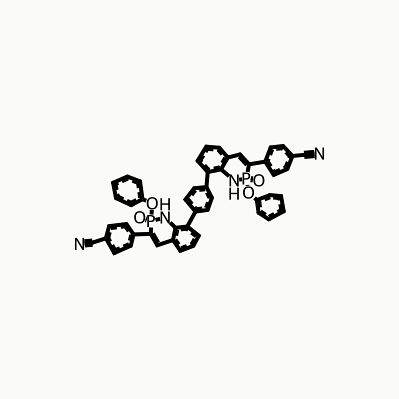 N#Cc1ccc(C2=Cc3cccc(-c4ccc(-c5cccc6c5NP(=O)(Oc5ccccc5)C(c5ccc(C#N)cc5)=C6)cc4)c3NP2(=O)Oc2ccccc2)cc1